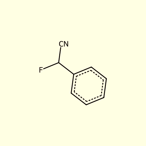 N#CC(F)c1ccccc1